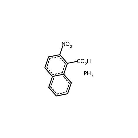 O=C(O)c1c([N+](=O)[O-])ccc2ccccc12.P